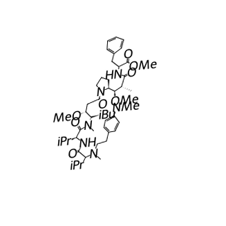 CC[C@H](C)[C@@H]([C@@H](CC(=O)N1CCC[C@H]1[C@H](OC)[C@@H](C)C(=O)NC(Cc1ccccc1)C(=O)OC)OC)N(C)C(=O)[C@@H](NC(=O)C(C(C)C)N(C)CCc1ccc(NC)cc1)C(C)C